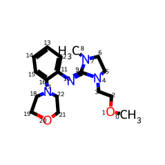 COCCN1CCN(C)C1=Nc1ccccc1N1CCOCC1